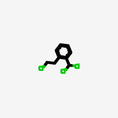 ClCCc1ccccc1C(Cl)Cl